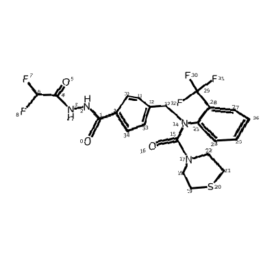 O=C(NNC(=O)C(F)F)c1ccc(CN(C(=O)N2CCSCC2)c2ccccc2C(F)(F)F)cc1